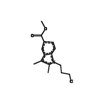 COC(=O)c1ccc2c(c1)c(C)c(C)n2CCCCl